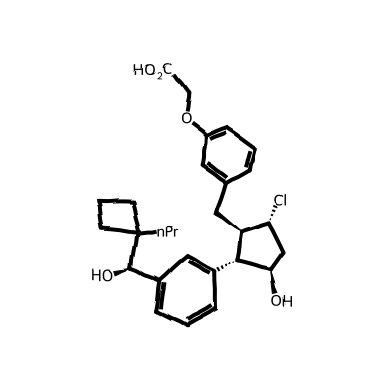 CCCC1([C@H](O)c2cccc([C@@H]3[C@@H](Cc4cccc(OCC(=O)O)c4)[C@H](Cl)C[C@H]3O)c2)CCC1